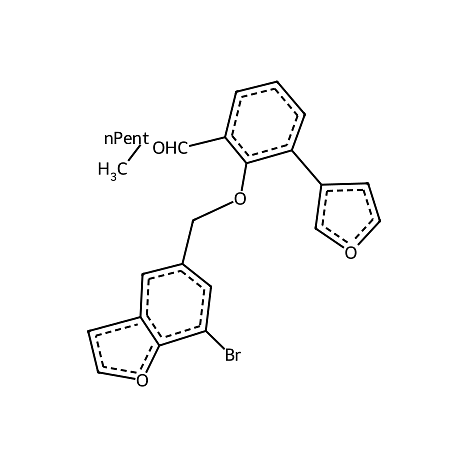 CCCCCC.O=Cc1cccc(-c2ccoc2)c1OCc1cc(Br)c2occc2c1